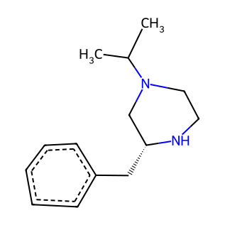 CC(C)N1CCN[C@H](Cc2ccccc2)C1